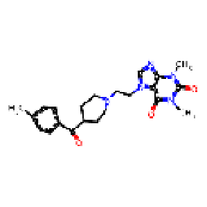 Cc1ccc(C(=O)C2CCN(CCn3cnc4c3c(=O)n(C)c(=O)n4C)CC2)cc1